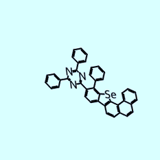 c1ccc(-c2nc(-c3ccccc3)nc(-c3ccc4c([se]c5c4ccc4ccc6ccccc6c45)c3-c3ccccc3)n2)cc1